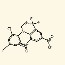 CCN(c1c(Cl)cc(I)cc1Cl)c1c([N+](=O)[O-])cc([N+](=O)[O-])cc1C(F)(F)F